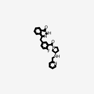 O=C(c1cc(Cc2n[nH]c(=O)c3ccccc23)ccc1F)N1CC[C@@H](NCc2ccccn2)C1